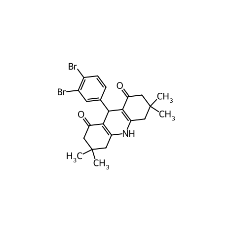 CC1(C)CC(=O)C2=C(C1)NC1=C(C(=O)CC(C)(C)C1)C2c1ccc(Br)c(Br)c1